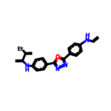 C=CNc1ccc(-c2nnc(-c3ccc(NC(=C)C(=C)CC)cc3)o2)cc1